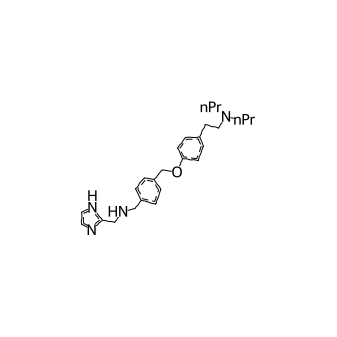 CCCN(CCC)CCc1ccc(OCc2ccc(CNCc3ncc[nH]3)cc2)cc1